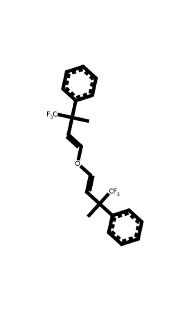 CC(C=COC=CC(C)(c1ccccc1)C(F)(F)F)(c1ccccc1)C(F)(F)F